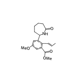 CC=Cc1c(C(=O)OC)cc(OC)cc1C1CCCCC(=O)N1